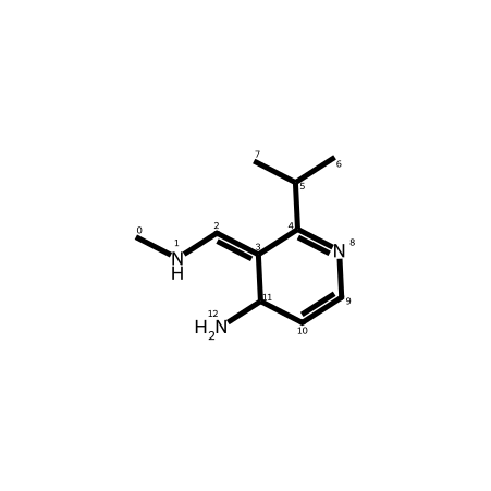 CN/C=C1/C(C(C)C)=NC=CC1N